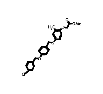 COC(=O)COc1ccc(SCc2ccc(OCc3ccc(Cl)cc3)cc2)cc1C